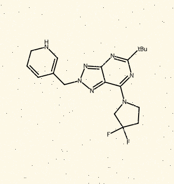 CC(C)(C)c1nc(N2CCC(F)(F)C2)c2nn(CC3=CNCC=C3)nc2n1